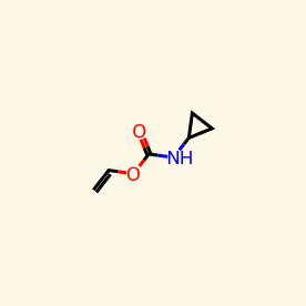 C=COC(=O)NC1CC1